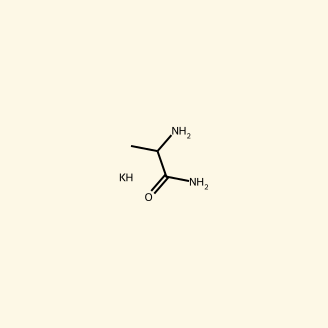 CC(N)C(N)=O.[KH]